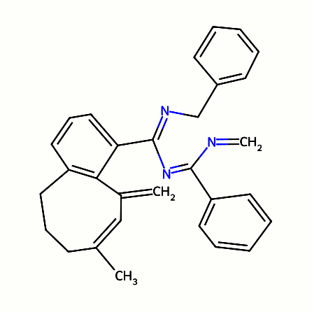 C=N/C(=N\C(=N/Cc1ccccc1)c1cccc2c1C(=C)/C=C(/C)CCC2)c1ccccc1